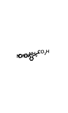 NC(c1ccccc1CCCCC(=O)O)N1CCN(c2ccncc2)CC1